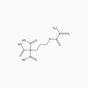 C=C(C)C(=O)OCCC[Si](C(=O)O)(C(=O)O)C(=O)O